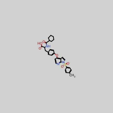 Cc1ccc(S(=O)(=O)n2ccc3c(Oc4ccc(CC(NC(=O)C5CCCCC5)C(=O)O)cc4)ccnc32)cc1